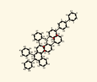 c1ccc(-c2ccc(-c3ccc(N(c4ccccc4-c4ccccc4)c4ccccc4-c4ccc5c(c4)c(-c4ccccc4)c(-c4ccccc4)c4ccccc45)cc3)cc2)cc1